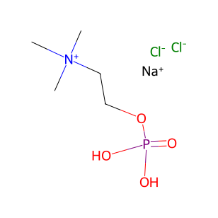 C[N+](C)(C)CCOP(=O)(O)O.[Cl-].[Cl-].[Na+]